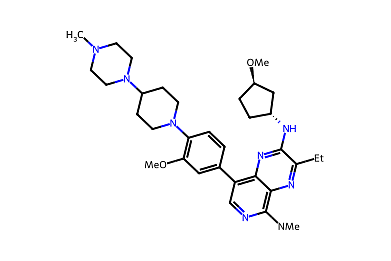 CCc1nc2c(NC)ncc(-c3ccc(N4CCC(N5CCN(C)CC5)CC4)c(OC)c3)c2nc1N[C@@H]1CC[C@@H](OC)C1